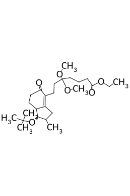 CCOC(=O)CCCC(CCC1=C2CC(C)[C@@H](OC(C)(C)C)C2CCC1=O)(OC)OC